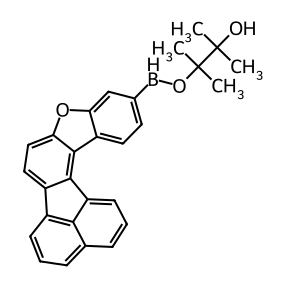 CC(C)(O)C(C)(C)OBc1ccc2c(c1)oc1ccc3c(c12)-c1cccc2cccc-3c12